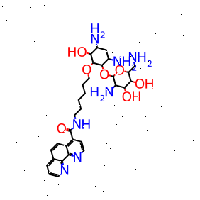 NCC1OC(OC2C(N)CC(N)C(O)C2OCCCCCCNC(=O)c2ccnc3c2ccc2cccnc23)C(N)C(O)C1O